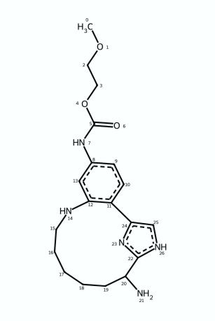 COCCOC(=O)Nc1ccc2c(c1)NCCCCCC(N)c1nc-2c[nH]1